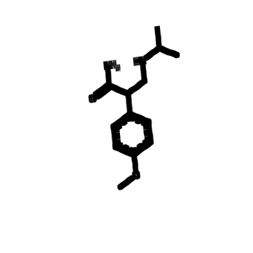 COc1ccc(C(CNC(C)C)C(N)=O)cc1